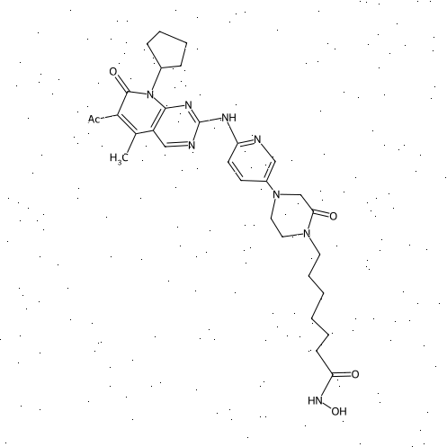 CC(=O)c1c(C)c2cnc(Nc3ccc(N4CCN(CCCCCCC(=O)NO)C(=O)C4)cn3)nc2n(C2CCCC2)c1=O